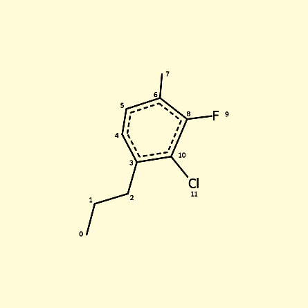 CCCc1ccc(C)c(F)c1Cl